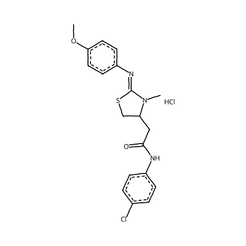 COc1ccc(/N=C2\SCC(CC(=O)Nc3ccc(Cl)cc3)N2C)cc1.Cl